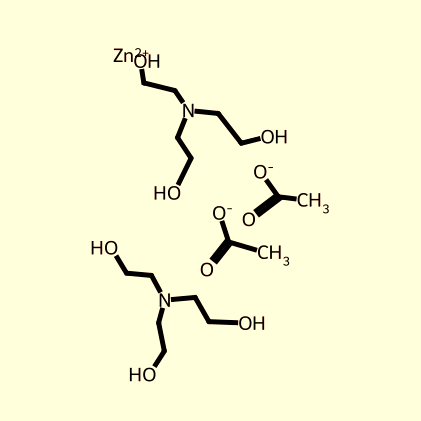 CC(=O)[O-].CC(=O)[O-].OCCN(CCO)CCO.OCCN(CCO)CCO.[Zn+2]